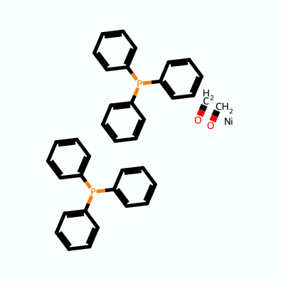 C=O.C=O.[Ni].c1ccc(P(c2ccccc2)c2ccccc2)cc1.c1ccc(P(c2ccccc2)c2ccccc2)cc1